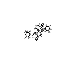 O=C1CSC(c2cccn2S(=O)(=O)c2ccccc2)N1CCc1ccncc1